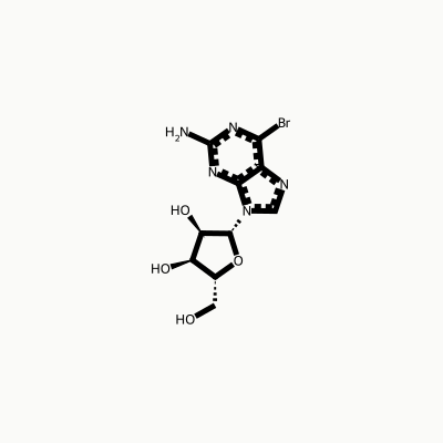 Nc1nc(Br)c2ncn([C@@H]3O[C@H](CO)[C@@H](O)[C@H]3O)c2n1